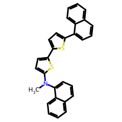 CN(c1ccc(-c2ccc(-c3cccc4ccccc34)s2)s1)c1cccc2ccccc12